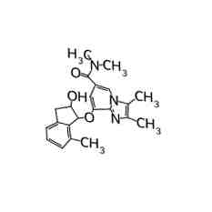 Cc1cccc2c1C(Oc1cc(C(=O)N(C)C)cn3c(C)c(C)nc13)C(O)C2